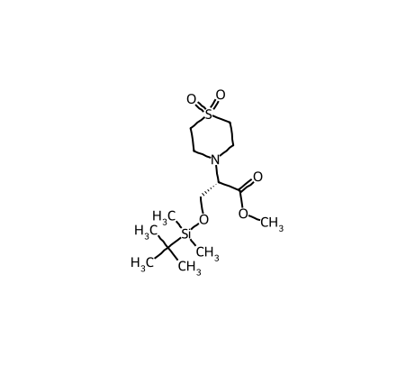 COC(=O)[C@H](CO[Si](C)(C)C(C)(C)C)N1CCS(=O)(=O)CC1